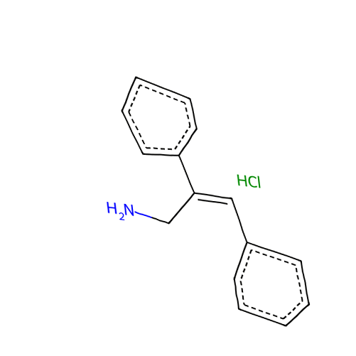 Cl.NC/C(=C\c1ccccc1)c1ccccc1